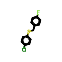 Fc1ccc(CSc2ccc(Cl)cc2)cc1